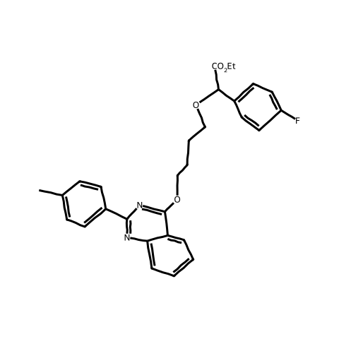 CCOC(=O)C(OCCCCOc1nc(-c2ccc(C)cc2)nc2ccccc12)c1ccc(F)cc1